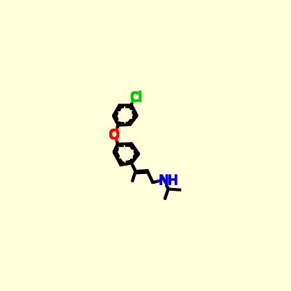 CC(=CCNC(C)C)c1ccc(Oc2ccc(Cl)cc2)cc1